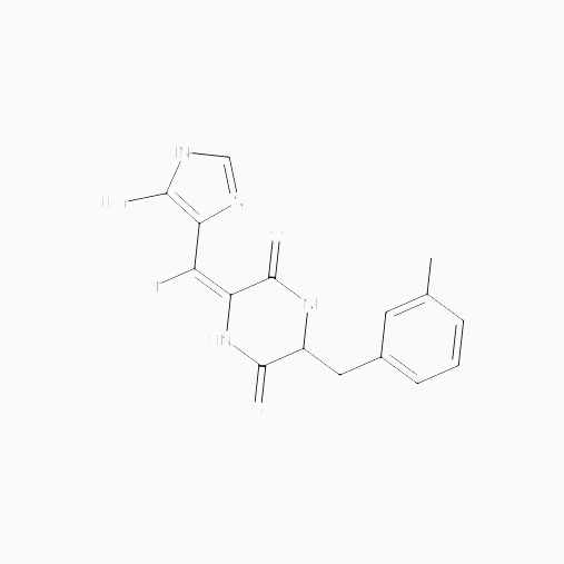 [2H]C(=C1NC(=O)C(Cc2cccc(F)c2)NC1=O)c1nc[nH]c1C(C)(C)C